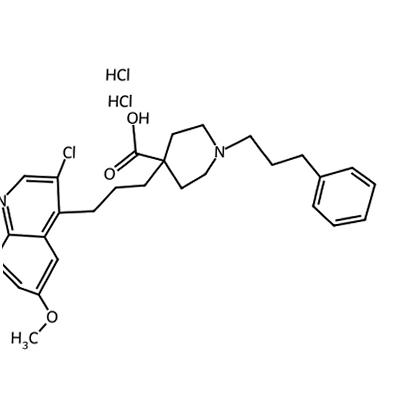 COc1ccc2ncc(Cl)c(CCCC3(C(=O)O)CCN(CCCc4ccccc4)CC3)c2c1.Cl.Cl